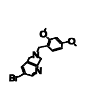 COc1ccc(CN2Cc3cc(Br)cnc3C2)c(OC)c1